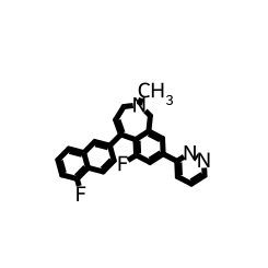 CN1CC=C(c2ccc3c(F)cccc3c2)c2c(F)cc(-c3cccnn3)cc2C1